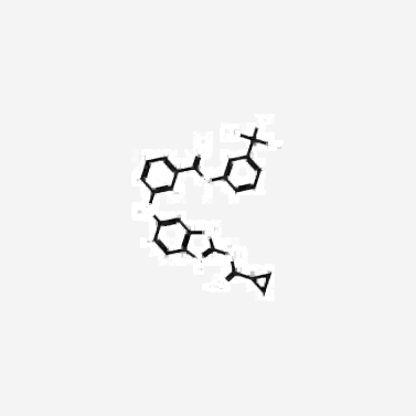 O=C(Nc1cccc(C(F)(F)F)c1)c1cccc(Oc2ccc3nc(NC(=O)C4CC4)oc3c2)c1